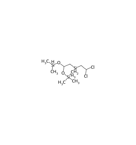 C[SiH](C)OC(C[SiH2]CC(Cl)Cl)O[Si](C)(C)C